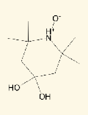 CC1(C)CC(O)(O)CC(C)(C)[NH+]1[O-]